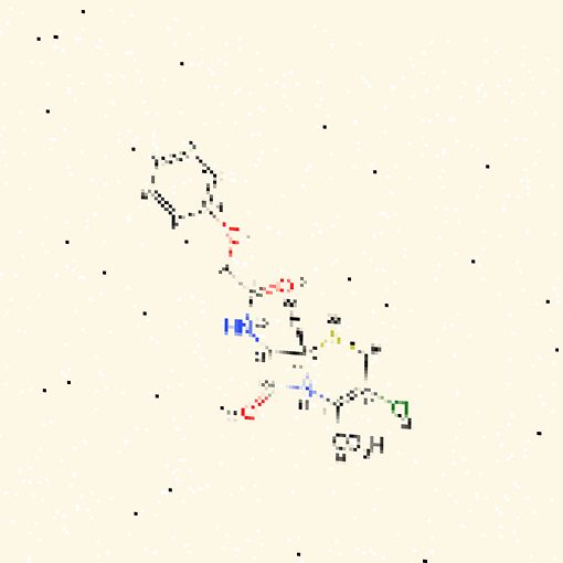 O=C(COc1ccccc1)NC1C(=O)N2C(C(=O)O)=C(Cl)CS[C@@H]12